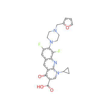 O=C(O)c1cn(C2CC2)c2nc3c(F)c(N4CCN(Cc5ccco5)CC4)c(F)cc3cc2c1=O